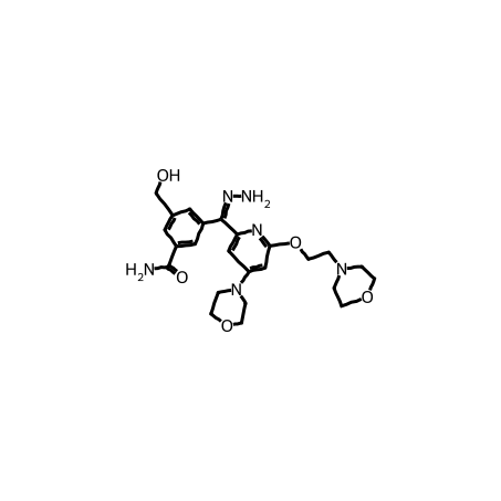 NN=C(c1cc(CO)cc(C(N)=O)c1)c1cc(N2CCOCC2)cc(OCCN2CCOCC2)n1